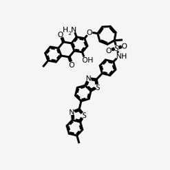 Cc1ccc2c(c1)C(=O)c1c(O)cc(OC3=CC=CC(C)(S(=O)(=O)Nc4ccc(-c5nc6ccc(-c7nc8ccc(C)cc8s7)cc6s5)cc4)C=C3)c(N)c1C2=O